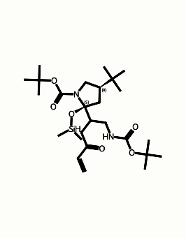 C=CC(=O)CC(CNC(=O)OC(C)(C)C)[C@@]1(O[SiH](C)C)C[C@H](C(C)(C)C)CN1C(=O)OC(C)(C)C